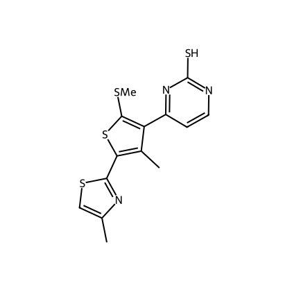 CSc1sc(-c2nc(C)cs2)c(C)c1-c1ccnc(S)n1